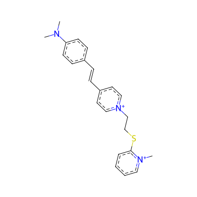 CN(C)c1ccc(/C=C/c2cc[n+](CCSc3cccc[n+]3C)cc2)cc1